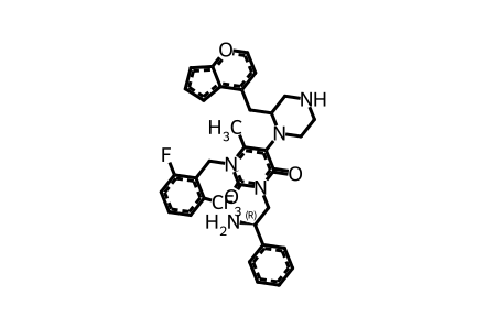 Cc1c(N2CCNCC2Cc2ccoc3cccc2-3)c(=O)n(C[C@H](N)c2ccccc2)c(=O)n1Cc1c(F)cccc1C(F)(F)F